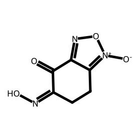 O=C1/C(=N\O)CCc2c1no[n+]2[O-]